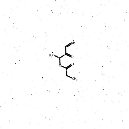 CCC(=O)OC(C)C(=O)C=N